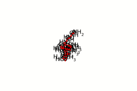 CC[C@H](C)[C@@H]([C@@H](CC(=O)N1CCC[C@H]1[C@H](OC)[C@@H](C)C(=O)N[C@H](C)[C@@H](O)c1ccccc1)OC)N(C)C(=O)[C@@H](NC(=O)[C@H](C(C)C)N(C)C(=O)OCc1cc(NC(=O)CNC(=O)CNC(=O)CNC(=O)CON)ccc1OC1OC(C(=O)O)C(O)C(O)C1O)C(C)C